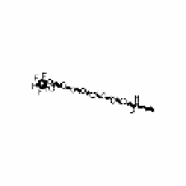 CCCCCNC(=O)CCOCCOCCOCCOCCOCCOCCOCCC(=O)Oc1c(F)c(F)c(F)c(F)c1F